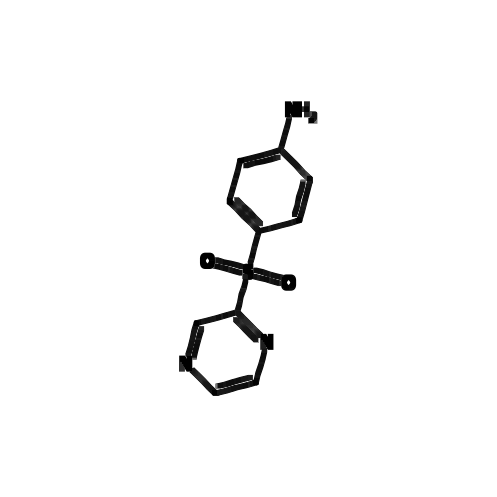 Nc1ccc(S(=O)(=O)c2cnccn2)cc1